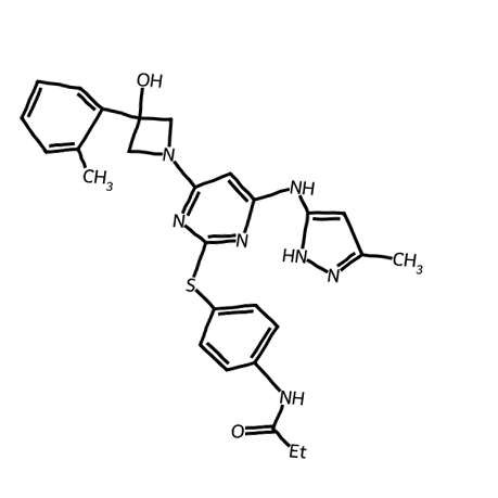 CCC(=O)Nc1ccc(Sc2nc(Nc3cc(C)n[nH]3)cc(N3CC(O)(c4ccccc4C)C3)n2)cc1